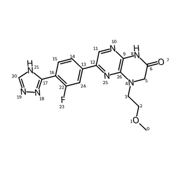 COCCN1CC(=O)Nc2ncc(-c3ccc(-c4nnc[nH]4)c(F)c3)nc21